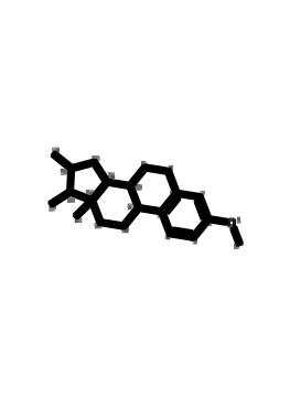 COc1ccc2c(c1)CCC1C2CCC2(C)C(C)C(C)CC12